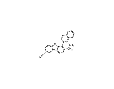 Cc1ccc2c(oc3ccc(C#N)cc32)c1-c1ccc2ccccc2[n+]1C